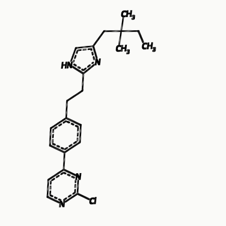 CCC(C)(C)Cc1c[nH]c(CCc2ccc(-c3ccnc(Cl)n3)cc2)n1